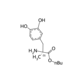 CCCCOC(=O)[C@@](C)(N)Cc1ccc(O)c(O)c1